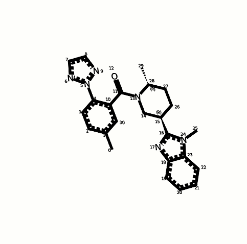 Cc1ccc(-n2nccn2)c(C(=O)N2C[C@H](c3nc4ccccc4n3C)CC[C@H]2C)c1